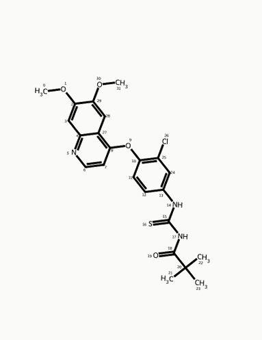 COc1cc2nccc(Oc3ccc(NC(=S)NC(=O)C(C)(C)C)cc3Cl)c2cc1OC